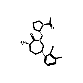 CC(=O)N1CCC[C@H]1CN1C[C@H](c2cccc(F)c2F)CC[C@@H](N)C1=O